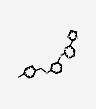 Fc1ccc(COc2cccc(Nc3nccc(-c4nccs4)n3)c2)cc1